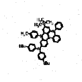 Cc1ccc(N2c3cc(N(c4ccc(C(C)(C)C)cc4)c4ccc(C(C)(C)C)cc4)ccc3B3c4ccccc4N(c4ccccc4)c4cc([Si](C)(C)C)cc2c43)cc1